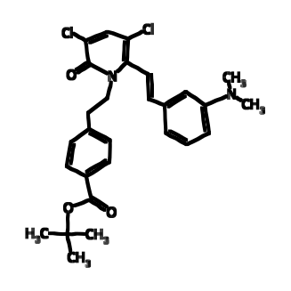 CN(C)c1cccc(/C=C/c2c(Cl)cc(Cl)c(=O)n2CCc2ccc(C(=O)OC(C)(C)C)cc2)c1